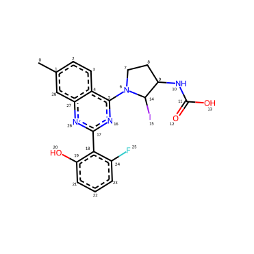 Cc1ccc2c(N3CCC(NC(=O)O)C3I)nc(-c3c(O)cccc3F)nc2c1